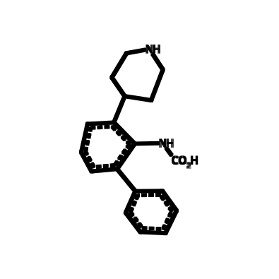 O=C(O)Nc1c(-c2ccccc2)cccc1C1CCNCC1